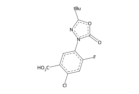 CC(C)(C)c1nn(-c2cc(C(=O)O)c(Cl)cc2F)c(=O)o1